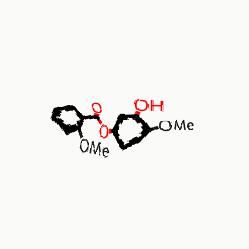 COc1ccc(OC(=O)c2ccccc2OC)cc1O